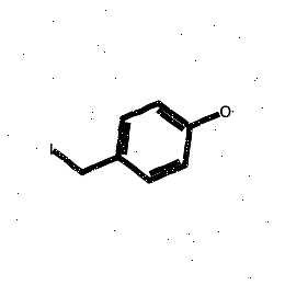 [O]c1ccc(CI)cc1